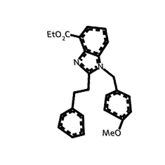 CCOC(=O)c1cccc2c1nc(CCc1ccccc1)n2Cc1ccc(OC)cc1